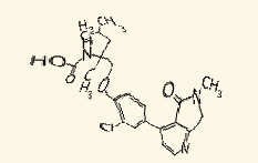 CC(C)CC(C)(COc1ccc(-c2ccnc3c2C(=O)N(C)C3)cc1Cl)NC(=O)O